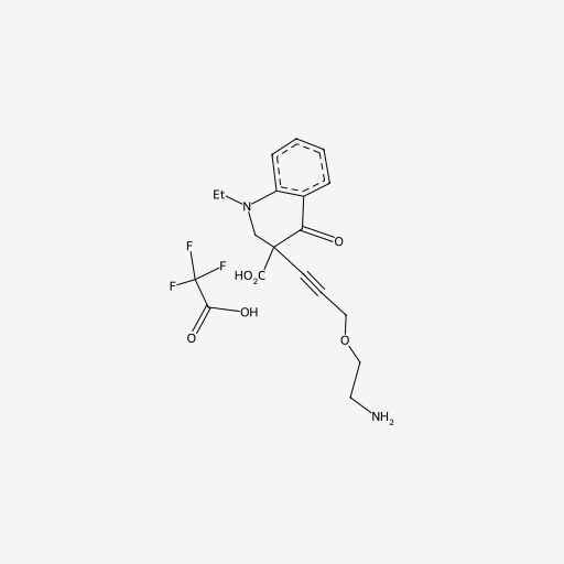 CCN1CC(C#CCOCCN)(C(=O)O)C(=O)c2ccccc21.O=C(O)C(F)(F)F